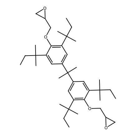 CCC(C)(C)c1cc(C(C)(C)c2cc(C(C)(C)CC)c(OCC3CO3)c(C(C)(C)CC)c2)cc(C(C)(C)CC)c1OCC1CO1